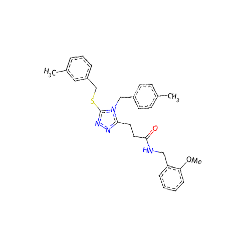 COc1ccccc1CNC(=O)CCc1nnc(SCc2cccc(C)c2)n1Cc1ccc(C)cc1